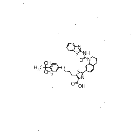 CC(C)(C)c1ccc(OCCCc2sc(-c3ccc4c(c3)N(C(=O)Nc3nc5ccccc5s3)CCC4)nc2C(=O)O)cc1